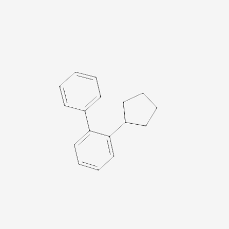 c1ccc(-c2ccccc2C2CCCC2)cc1